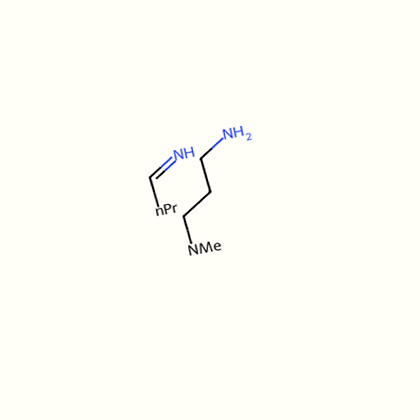 CCCC=N.CNCCCN